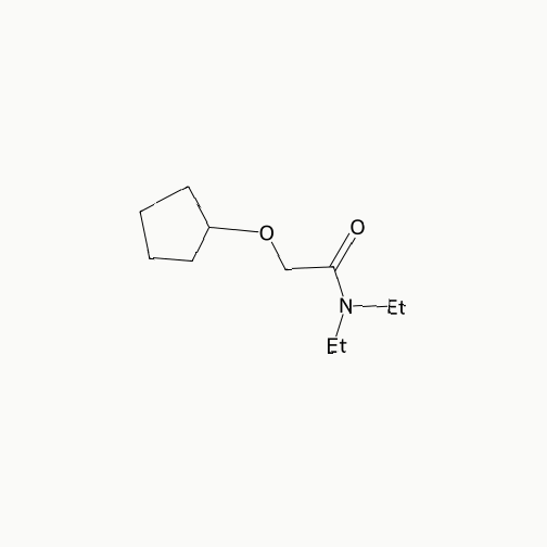 CCN(CC)C(=O)COC1CCCC1